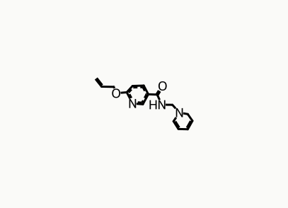 C=CCOc1ccc(C(=O)NCN2C=CC=CC2)cn1